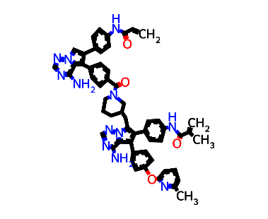 C=CC(=O)Nc1ccc(-c2cn3ncnc(N)c3c2-c2ccc(C(=O)N3CCCC(Cc4c(-c5ccc(NC(=O)C(=C)C)cc5)c(-c5ccc(Oc6cccc(C)n6)cc5)c5c(N)ncnn45)C3)cc2)cc1